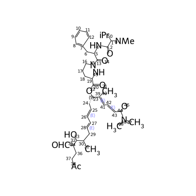 CNC(C(=O)NC(Cc1ccccc1)C(=O)N1CCCC(C(=O)O[C@@H](C/C=C/C=C/CC(C)C(O)C(C=O)CCC(C)=O)/C(C)=C/C=C/C(=O)N(C)C)N1)C(C)C